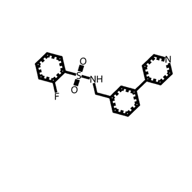 O=S(=O)(NCc1cccc(-c2ccncc2)c1)c1ccccc1F